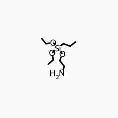 CCC[Si](OCC)(OCC)OCCN